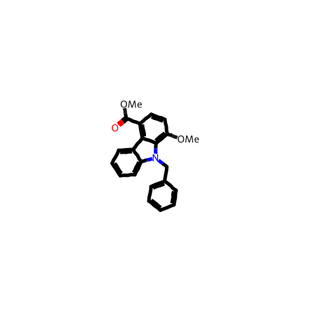 COC(=O)c1ccc(OC)c2c1c1ccccc1n2Cc1ccccc1